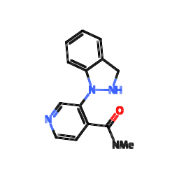 CNC(=O)c1ccncc1N1NCc2ccccc21